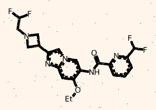 CCOc1cc2nc(C3CN(CC(F)F)C3)cn2cc1NC(=O)c1cccc(C(F)F)n1